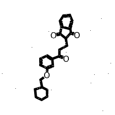 O=C(CCC1C(=O)c2ccccc2C1=O)c1cccc(OCC2CCCCC2)c1